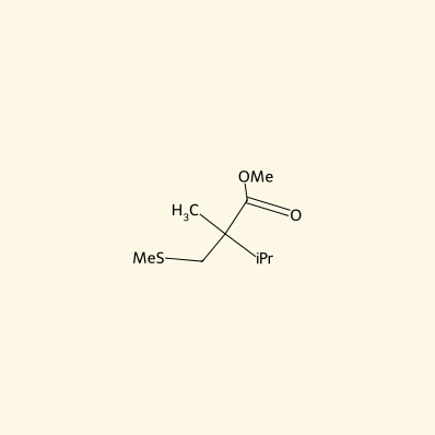 COC(=O)C(C)(CSC)C(C)C